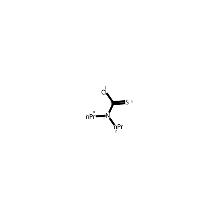 CCCN(CCC)C(=S)Cl